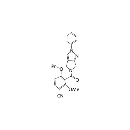 COc1c(C#N)ccc(OC(C)C)c1C(=O)N1Cc2cn(-c3ccccc3)nc2C1